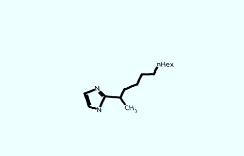 CCCCCCCCCCC(C)C1=NC=C[N]1